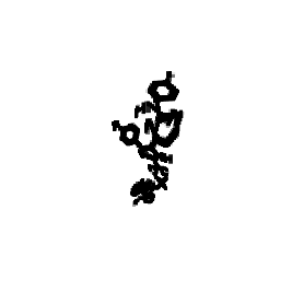 CC1(CNS(C)(=O)=O)COC(c2nc(-c3ccc(F)cc3)c(-c3ccnc(Nc4ccc(F)cc4)n3)[nH]2)OC1